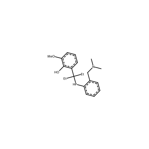 CCC(CC)(Pc1ccccc1CN(C)C)c1cccc(OC)c1O